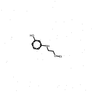 CCOCCNc1cccc(O)c1